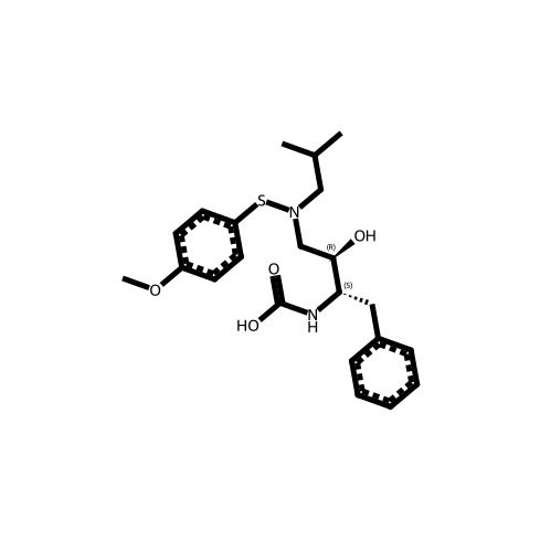 COc1ccc(SN(CC(C)C)C[C@@H](O)[C@H](Cc2ccccc2)NC(=O)O)cc1